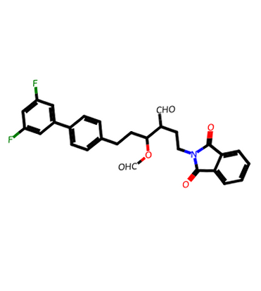 O=COC(CCc1ccc(-c2cc(F)cc(F)c2)cc1)C(C=O)CCN1C(=O)c2ccccc2C1=O